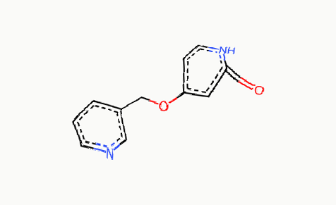 O=c1cc(OCc2cccnc2)cc[nH]1